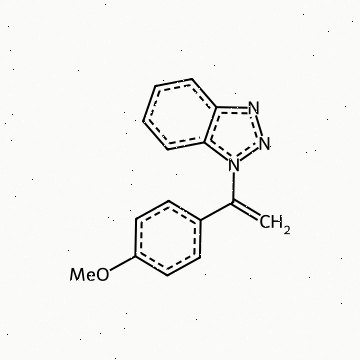 C=C(c1ccc(OC)cc1)n1nnc2ccccc21